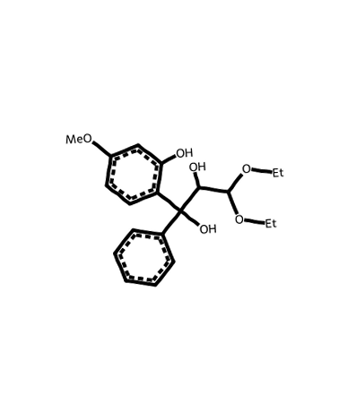 CCOC(OCC)C(O)C(O)(c1ccccc1)c1ccc(OC)cc1O